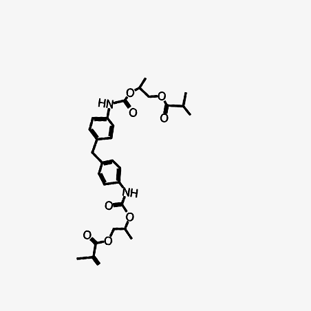 C=C(C)C(=O)OCC(C)OC(=O)Nc1ccc(Cc2ccc(NC(=O)OC(C)COC(=O)C(C)C)cc2)cc1